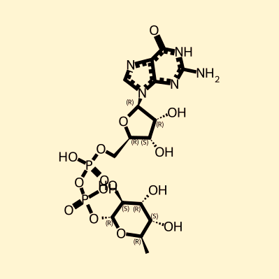 C[C@H]1O[C@H](OP(=O)(O)OP(=O)(O)OC[C@H]2O[C@@H](n3cnc4c(=O)[nH]c(N)nc43)[C@H](O)[C@@H]2O)[C@@H](O)[C@H](O)[C@@H]1O